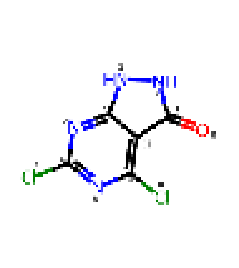 O=c1[nH][nH]c2nc(Cl)nc(Cl)c12